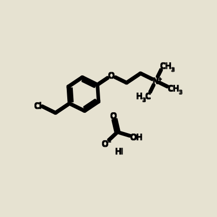 C[N+](C)(C)CCOc1ccc(CCl)cc1.I.O=C([O-])O